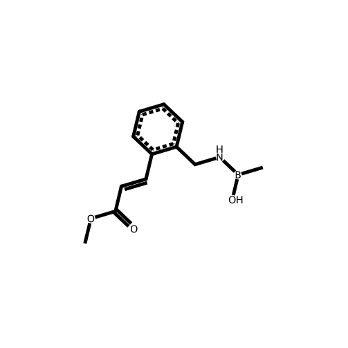 COC(=O)/C=C/c1ccccc1CNB(C)O